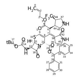 C=CCOC(=O)C(C(C1=CS[C@@H]2[C@H](NC(=O)OC(C)(C)C)C(=O)N2[C@H]1C(=O)OC(c1ccccc1)c1ccccc1)=C1CCNC1=O)[C@@H]1CNC[C@@H]1C(F)(F)F